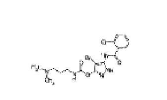 CN(C)CCCNC(=O)Oc1n[nH]c(NC(=O)c2ccccc2Cl)c1Br